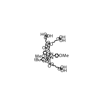 COc1ccc(-c2nc(OCC(COC(=O)OCCCCON(O)O)OC(=O)OCCCCON(O)O)c(Oc3ccccc3OC)c(N(COC(=O)OCCCCON(O)O)S(=O)(=O)c3ccc(C(C)(C)C)cn3)n2)cc1